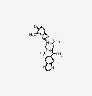 CC(c1ccc2nccnc2c1)N1C[C@H](C)N(n2cc3c(ccc(=O)n3C)n2)C[C@H]1C